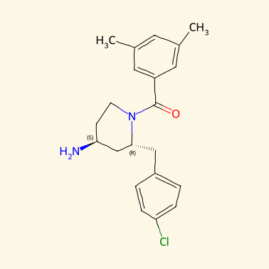 Cc1cc(C)cc(C(=O)N2CC[C@H](N)C[C@H]2Cc2ccc(Cl)cc2)c1